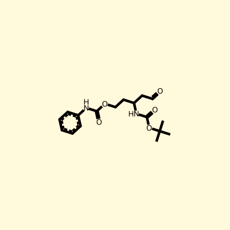 CC(C)(C)OC(=O)NC(CC=O)CCOC(=O)Nc1ccccc1